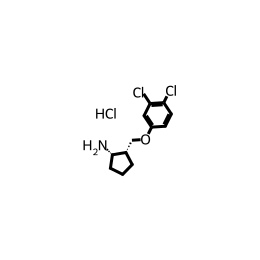 Cl.N[C@H]1CCC[C@H]1COc1ccc(Cl)c(Cl)c1